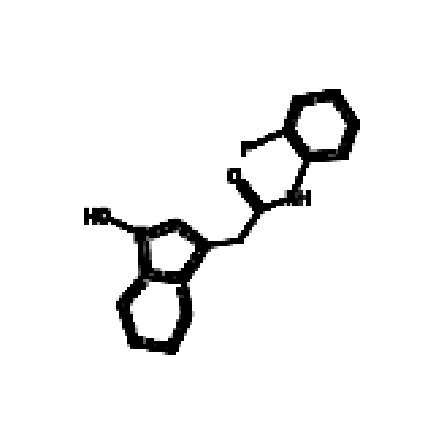 O=C(Cc1cn(O)c2ccccc12)Nc1ccccc1F